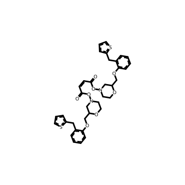 O=C(/C=C\C(=O)ON1CCOC(COc2ccccc2Cc2cccs2)C1)ON1CCOC(COc2ccccc2Cc2cccs2)C1